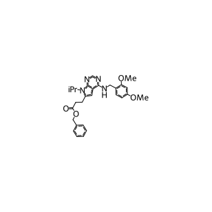 COc1ccc(CNc2ncnc3c2cc(CCC(=O)OCc2ccccc2)n3C(C)C)c(OC)c1